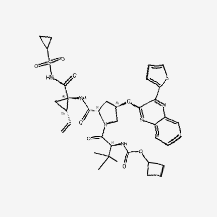 C=C[C@@H]1C[C@]1(NC(=O)[C@@H]1C[C@@H](Oc2nc3ccccc3nc2-c2cccs2)CN1C(=O)[C@@H](NC(=O)OC1CCC1)C(C)(C)C)C(=O)NS(=O)(=O)C1CC1